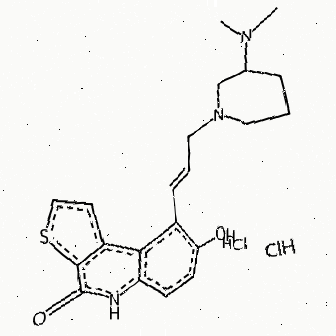 CN(C)C1CCCN(C/C=C/c2c(O)ccc3[nH]c(=O)c4sccc4c23)C1.Cl.Cl